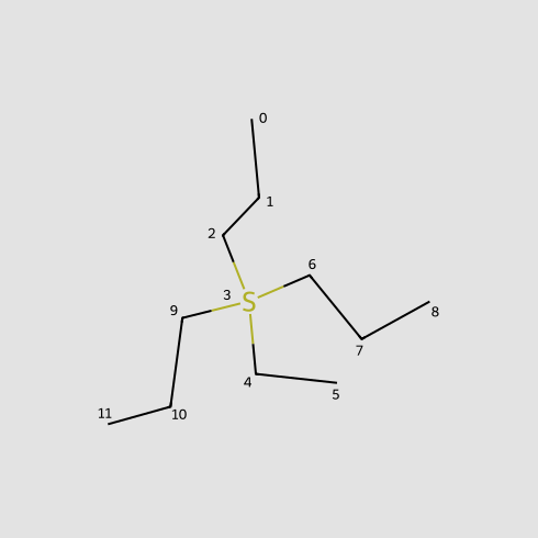 CCCS(CC)(CCC)CCC